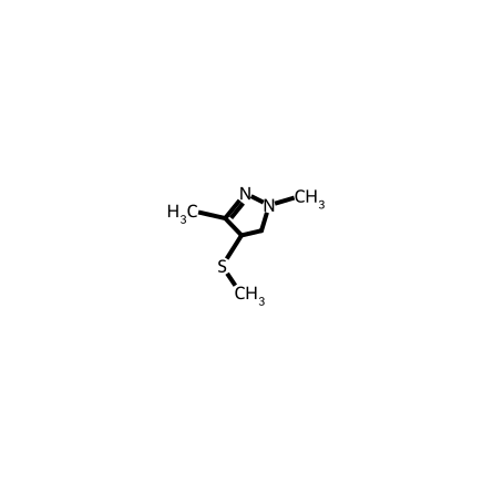 CSC1CN(C)N=C1C